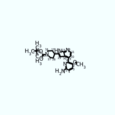 COc1ccc(N)nc1-c1ccnc2[nH]c(C3CCN(C(=O)OC(C)(C)C)CC3)cc12